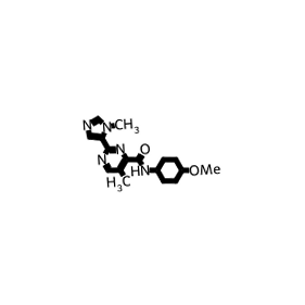 COC1CCC(NC(=O)c2nc(-c3cncn3C)ncc2C)CC1